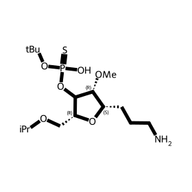 CO[C@H]1C(OP(O)(=S)OC(C)(C)C)[C@@H](COC(C)C)O[C@H]1CCCN